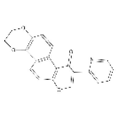 O=c1c(-c2ccccn2)coc2ccc3c4c(ccc3c12)OCCO4